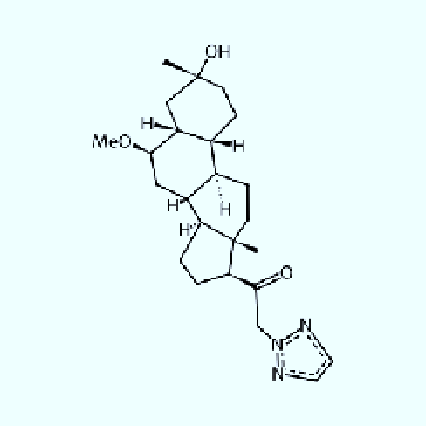 CO[C@@H]1C[C@@H]2[C@H](CC[C@]3(C)[C@@H](C(=O)Cn4nccn4)CC[C@@H]23)[C@H]2CC[C@@](C)(O)C[C@H]21